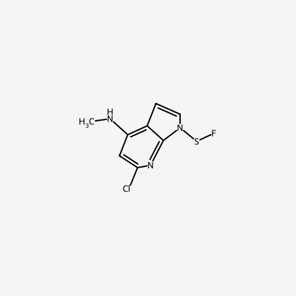 CNc1cc(Cl)nc2c1ccn2SF